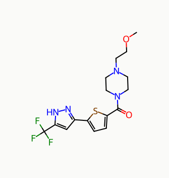 COCCN1CCN(C(=O)c2ccc(-c3cc(C(F)(F)F)[nH]n3)s2)CC1